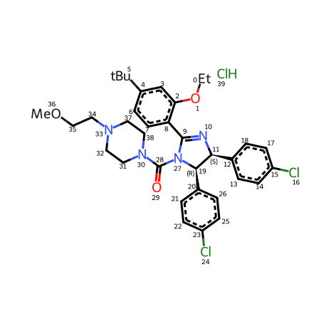 CCOc1cc(C(C)(C)C)ccc1C1=N[C@@H](c2ccc(Cl)cc2)[C@@H](c2ccc(Cl)cc2)N1C(=O)N1CCN(CCOC)CC1.Cl